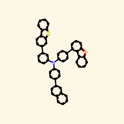 c1cc(-c2ccc3c(c2)sc2ccccc23)cc(N(c2ccc(-c3ccc4ccccc4c3)cc2)c2ccc(-c3cccc4oc5ccccc5c34)cc2)c1